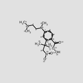 CN(C)CCN(C)c1ccc(C(=O)OO)c(C(C)(C)C[N+](=O)[O-])c1